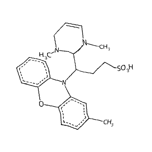 Cc1ccc2c(c1)N(C(CCS(=O)(=O)O)C1N(C)C=CCN1C)c1ccccc1O2